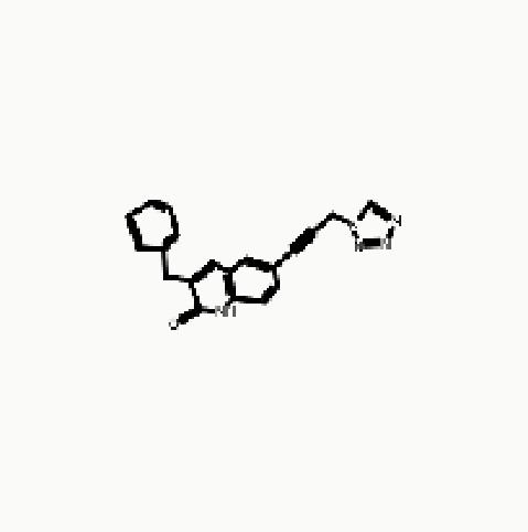 O=c1[nH]c2ccc(C#CCn3cnnn3)cc2cc1Cc1ccccc1